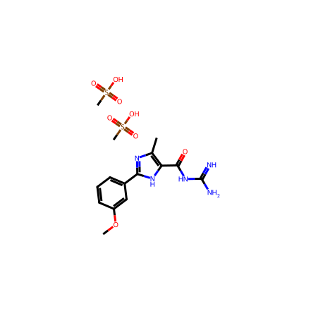 COc1cccc(-c2nc(C)c(C(=O)NC(=N)N)[nH]2)c1.CS(=O)(=O)O.CS(=O)(=O)O